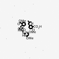 COC(=O)c1ccccc1CS(=O)(=O)NC(=O)Nc1nc(OC)cc(OC)n1.Cc1cnc2c(C(=O)O)c(Cl)ccc2c1